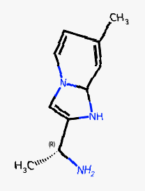 CC1=CC2NC([C@@H](C)N)=CN2C=C1